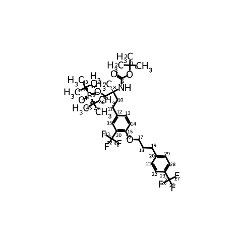 CC(C)(C)OC(=O)N[C@@](C)(CCc1ccc(OCCCc2ccc(C(F)(F)F)cc2)c(C(F)(F)F)c1)COP(=O)(C(C)(C)C)C(C)(C)C